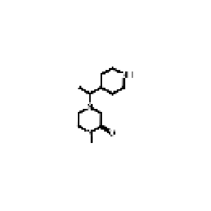 CC(C1CCNCC1)N1CCNC(=O)C1